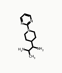 CC(N)C(N)C1CCN(c2ncccn2)CC1